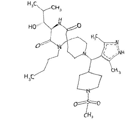 CCCCN1C(=O)[C@@H]([C@H](O)C(C)C)NC(=O)C12CCN(C(c1c(C)n[nH]c1C)C1CCN(S(C)(=O)=O)CC1)CC2